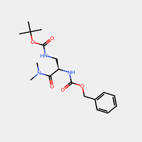 CN(C)C(=O)[C@@H](CNC(=O)OC(C)(C)C)NC(=O)OCc1ccccc1